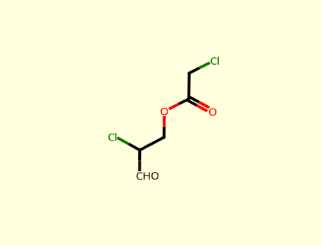 O=CC(Cl)COC(=O)CCl